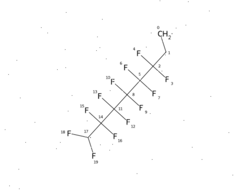 [CH2]CC(F)(F)C(F)(F)C(F)(F)C(F)(F)C(F)(F)[C](F)F